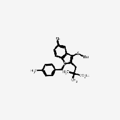 CCOC(=O)C(C)(C)Cc1c(SC(C)(C)C)c2cc(S)ccc2n1Cc1ccc(C)cc1